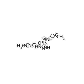 COc1ccc(CNC(=O)c2cc3[nH]nc(NC(=O)c4ccc(N5CCN(C)CC5)cc4)c3s2)cc1